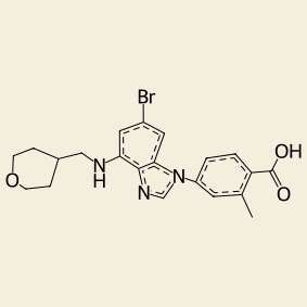 Cc1cc(-n2cnc3c(NCC4CCOCC4)cc(Br)cc32)ccc1C(=O)O